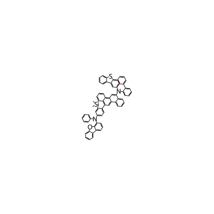 C[Si]1(C)c2cc(N(c3ccccc3)c3cccc4c3oc3ccccc34)ccc2-c2cc3c4ccccc4c(N(c4ccc5sc6ccccc6c5c4)c4ccccc4-c4ccccc4)cc3c3cccc1c23